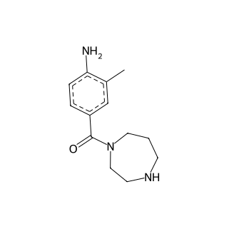 Cc1cc(C(=O)N2CCCNCC2)ccc1N